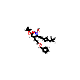 CO/N=C(\C#CC1CC(CC(C)(C)C)C1)C(CCCOCc1ccccc1)CC(=O)OC1(C)CC1